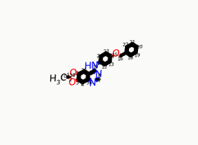 CC1Oc2cc3ncnc(Nc4ccc(OCc5ccccc5)cc4)c3cc2O1